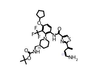 C=C(/C=C\N)c1nc(C(=O)Nc2ccc(OC3CCCC3)c(C(F)(F)F)c2N2CCC[C@@H](CNC(=O)OC(C)(C)C)C2)cs1